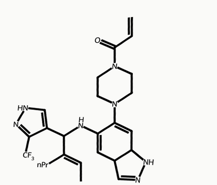 C=CC(=O)N1CCN(C2=CC3NN=CC3C=C2NC(/C(=C/C)CCC)c2c[nH]nc2C(F)(F)F)CC1